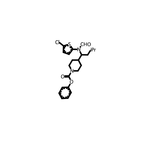 CC(C)CC(C1CCN(C(=O)Oc2ccccc2)CC1)N(C=O)c1ccc(Cl)s1